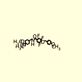 CCC1(C(=O)OC)CCC(CNC(=O)c2cc(F)c(OCc3ccc(OC)cc3)c(F)c2F)CC1